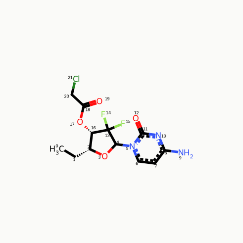 CC[C@H]1OC(n2ccc(N)nc2=O)C(F)(F)[C@H]1OC(=O)CCl